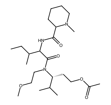 CCC(C)C(NC(=O)C1CCCCN1C)C(=O)N(CCOC)[C@H](CCOC(C)=O)C(C)C